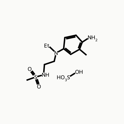 CCN(CCNS(C)(=O)=O)c1ccc(N)c(C)c1.O=S(=O)(O)O